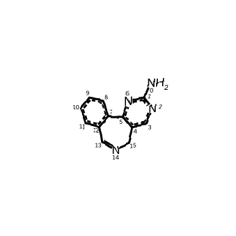 Nc1ncc2c(n1)-c1ccccc1C=NC2